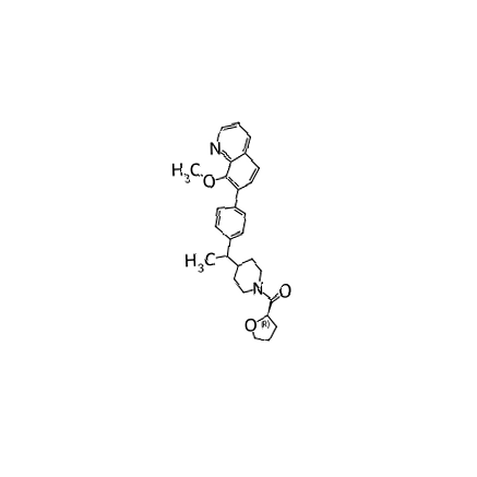 COc1c(-c2ccc(C(C)C3CCN(C(=O)[C@H]4CCCO4)CC3)cc2)ccc2cccnc12